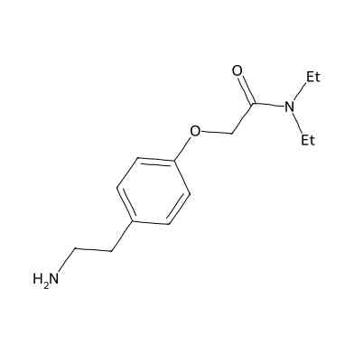 CCN(CC)C(=O)COc1ccc(CCN)cc1